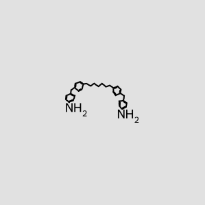 Nc1ccc(Cc2ccc(CCCCCCCc3ccc(Cc4ccc(N)cc4)cc3)cc2)cc1